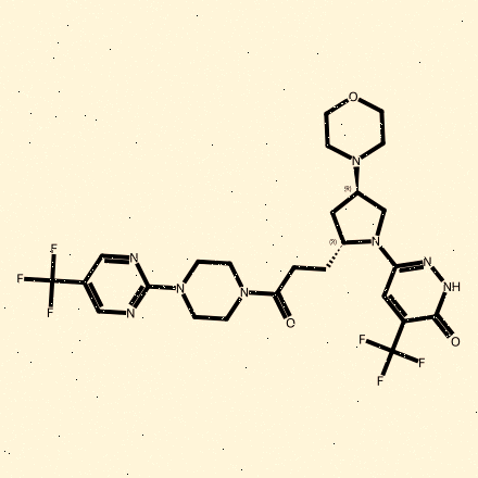 O=C(CC[C@@H]1C[C@@H](N2CCOCC2)CN1c1cc(C(F)(F)F)c(=O)[nH]n1)N1CCN(c2ncc(C(F)(F)F)cn2)CC1